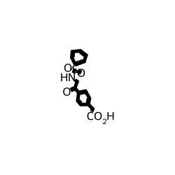 O=C(O)Cc1ccc(C(=O)CNS(=O)(=O)c2ccccc2)cc1